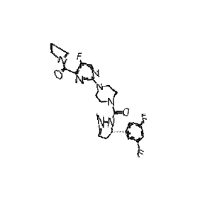 O=C(c1nc(N2CCN(C(=O)N3N=CC[C@H]3c3cc(F)cc(F)c3)CC2)ncc1F)N1CCC1